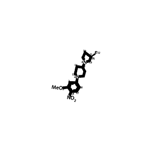 COc1cc(N2CCC(N3CC[C@@H](F)C3)CC2)ccc1[N+](=O)[O-]